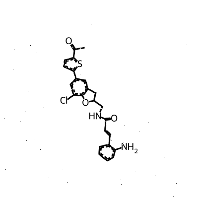 CC(=O)c1ccc(-c2cc(Cl)c3c(c2)CC(CNC(=O)C=Cc2ccccc2N)O3)s1